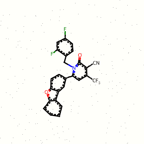 N#Cc1c(C(F)(F)F)cc(-c2ccc3oc4ccccc4c3c2)n(Cc2ccc(F)cc2F)c1=O